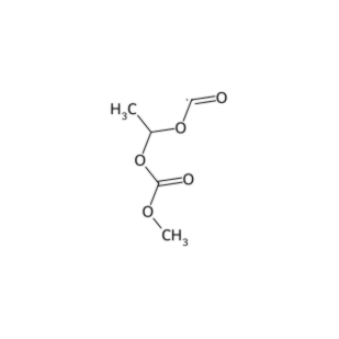 COC(=O)OC(C)O[C]=O